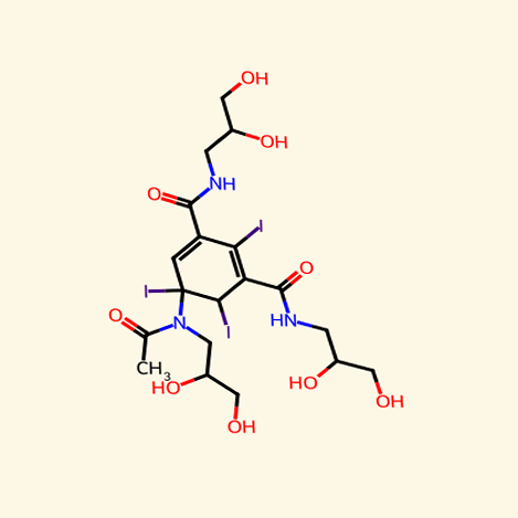 CC(=O)N(CC(O)CO)C1(I)C=C(C(=O)NCC(O)CO)C(I)=C(C(=O)NCC(O)CO)C1I